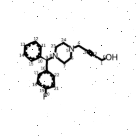 OCC#CCN1CCN([C@H](c2ccccc2)c2ccc(F)cc2)CC1